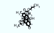 CCCCOC(=O)C(=O)[C@H]1[C@H](C)C[C@H]2[C@@H]3C=C(OC(C)=O)C4=CC(=O)C=C[C@]4(C)[C@H]3[C@@H](O)C[C@@]21C